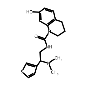 CN(C)C(CNC(=O)N1CCCc2ccc(O)cc21)c1ccsc1